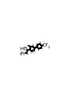 Cc1cc(-c2ccc(C(F)(F)F)cc2)ccc1[C@@H](O)CC(C)C